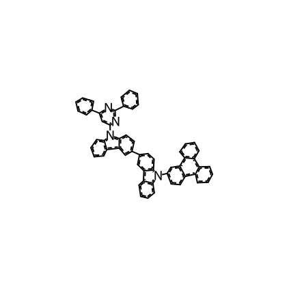 c1ccc(-c2cc(-n3c4ccccc4c4cc(-c5ccc6c(c5)c5ccccc5n6-c5ccc6c7ccccc7c7ccccc7c6c5)ccc43)nc(-c3ccccc3)n2)cc1